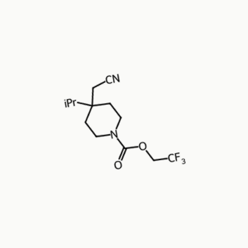 CC(C)C1(CC#N)CCN(C(=O)OCC(F)(F)F)CC1